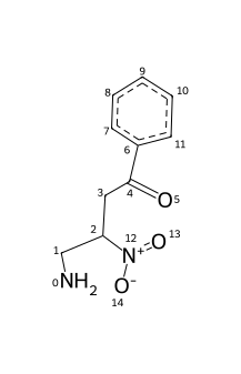 NCC(CC(=O)c1ccccc1)[N+](=O)[O-]